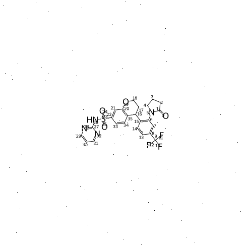 O=C1CCCN1c1cc(C(F)(F)F)ccc1C1CCOc2cc(S(=O)(=O)Nc3ncccn3)ccc21